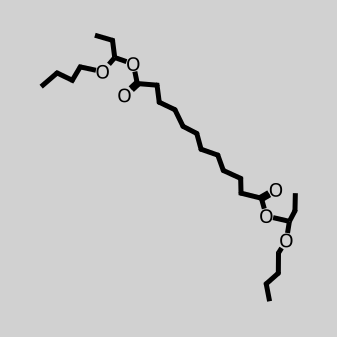 CCCCOC(CC)OC(=O)CCCCCCCCCCC(=O)OC(CC)OCCCC